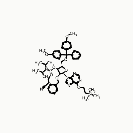 COc1ccc(C(OC[C@H]2O[C@@H](n3cnc4c(OCC[Si](C)(C)C)ncnc43)[C@@H](OCc3ccccc3)[C@@H]2OP(OCCC#N)N(C(C)C)C(C)C)(c2ccccc2)c2ccc(OC)cc2)cc1